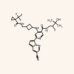 CC(C)(O)C(F)CNC(=O)c1cnc(-c2ccc3cc(C#N)cnn23)cc1NC1CC(CNC(=O)C2(C(F)(F)F)CC2)C1